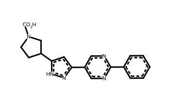 O=C(O)N1CCC(c2cc(-c3cnc(-c4ccccc4)nc3)n[nH]2)C1